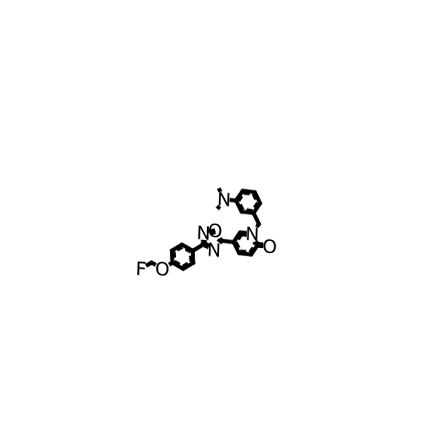 CN(C)c1cccc(Cn2cc(-c3nc(-c4ccc(OCF)cc4)no3)ccc2=O)c1